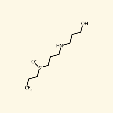 [O-][S+](CCCNCCCO)CCC(F)(F)F